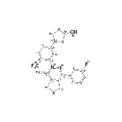 O=c1c2c(c(-c3cccc(F)c3)nn1-c1cc(N3CCC(O)C3)ccc1C(F)(F)F)CCC2